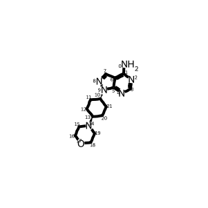 Nc1ncnc2c1cnn2[C@H]1CC[C@H](N2CCOCC2)CC1